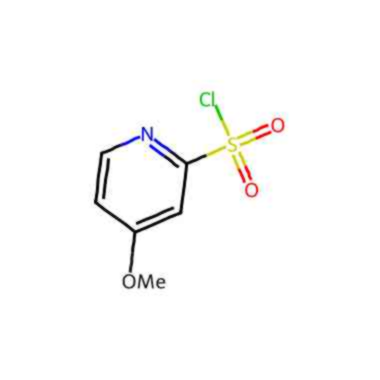 COc1ccnc(S(=O)(=O)Cl)c1